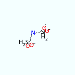 CCOC(OCC)[SiH2]CCCCN(C)CCCC[SiH2]C(OCC)OCC